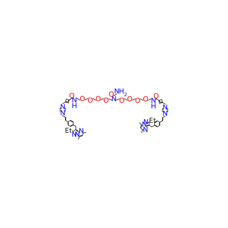 CCc1nn2c(C)cc(C)nc2c1Cc1ccc(/C=C/CN2CCN(CC34CC(C(=O)NCCOCCOCCOCCOCCN(CCOCCOCCOCCOCCNC(=O)C56CC(CN7CCN(C/C=C/c8ccc(Cc9c(CC)nn%10c(C)cc(C)nc9%10)cc8)CC7)(C5)C6)C(=O)CN)(C3)C4)CC2)cc1